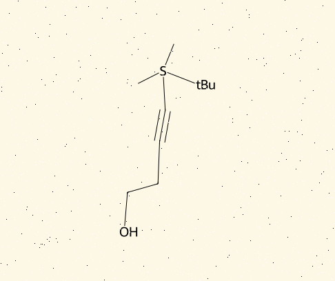 CC(C)(C)S(C)(C)C#CCCO